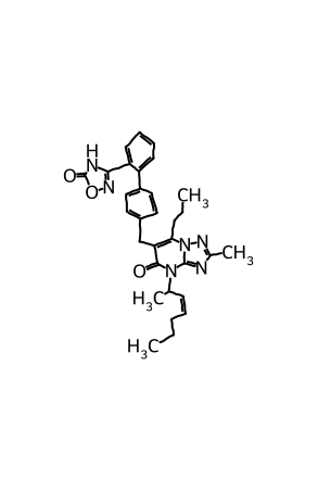 CCC/C=C\C(C)n1c(=O)c(Cc2ccc(-c3ccccc3-c3noc(=O)[nH]3)cc2)c(CCC)n2nc(C)nc12